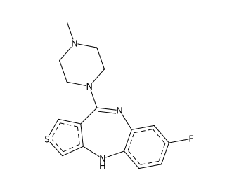 CN1CCN(C2=Nc3cc(F)ccc3Nc3cscc32)CC1